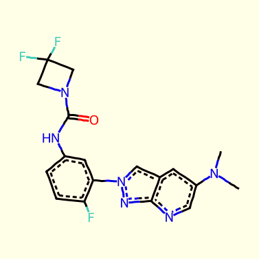 CN(C)c1cnc2nn(-c3cc(NC(=O)N4CC(F)(F)C4)ccc3F)cc2c1